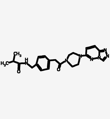 CC(C)C(=O)NCc1ccc(CC(=O)N2CCN(c3ccc4nncn4n3)CC2)cc1